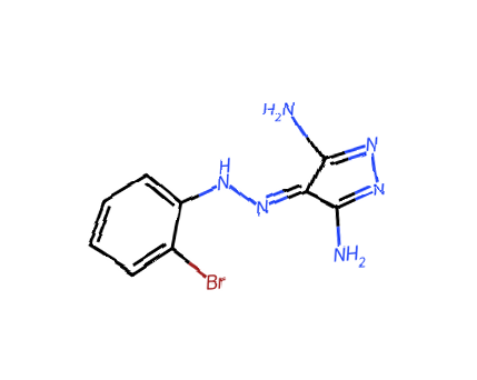 NC1=NN=C(N)C1=NNc1ccccc1Br